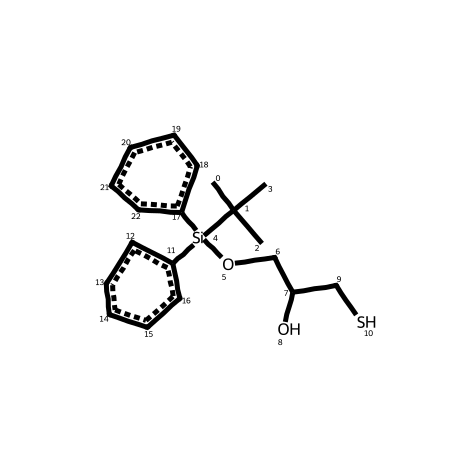 CC(C)(C)[Si](OCC(O)CS)(c1ccccc1)c1ccccc1